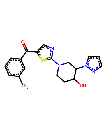 O=C(c1cccc(C(F)(F)F)c1)c1cnc(N2CCC(O)C(n3cccn3)C2)s1